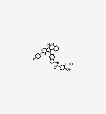 Nc1ncccc1-c1nc2ccc(-c3ccc(F)cc3)nc2n1-c1ccc2c(c1)CC[C@@H]2NC(=O)c1ccc(O)c(C=O)c1